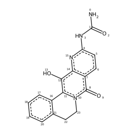 NC(=O)Nc1ccc2c(=O)n3c(c(O)c2n1)-c1ccccc1CC3